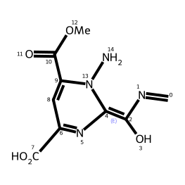 C=N/C(O)=C1/N=C(C(=O)O)C=C(C(=O)OC)N1N